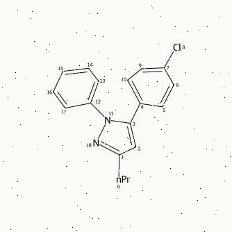 [CH2]CCc1cc(-c2ccc(Cl)cc2)n(-c2ccccc2)n1